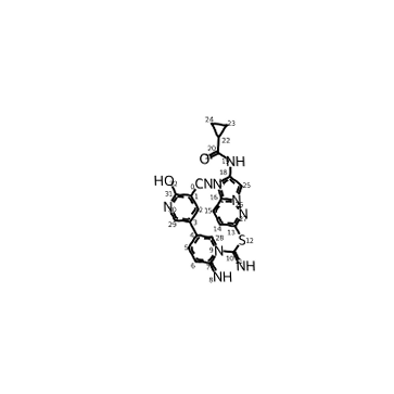 N#Cc1cc(-c2ccc(=N)n(C(=N)Sc3ccc4nc(NC(=O)C5CC5)cn4n3)c2)cnc1O